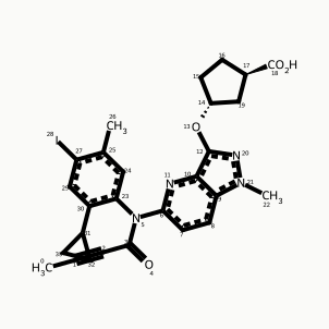 CC#CC(=O)N(c1ccc2c(n1)c(O[C@@H]1CC[C@@H](C(=O)O)C1)nn2C)c1cc(C)c(I)cc1C1CC1